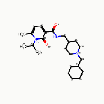 Cc1ccc(C(=O)NCC2CCN(CC3CCCCC3)CC2)c(=O)n1C(C)C